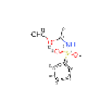 CC(NS(=O)(=O)c1ccccc1)O[C]=O